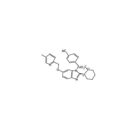 Cc1ccc(COc2ccc3nc([C@@H]4CCCC[C@@H]4C(=O)O)n(Cc4ccc(C#N)cc4)c3c2)nc1